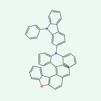 c1ccc(N(c2ccc3c4ccccc4n(-c4ccccc4)c3c2)c2ccccc2-c2cccc3ccc4oc5ccccc5c4c23)cc1